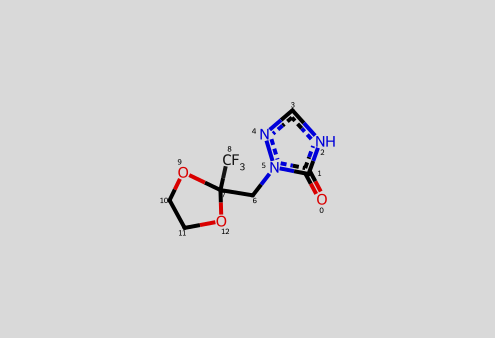 O=c1[nH]cnn1CC1(C(F)(F)F)OCCO1